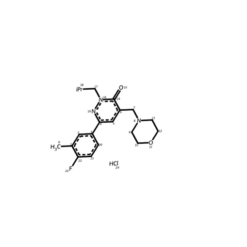 Cc1cc(-c2cc(CN3CCOCC3)c(=O)n(CC(C)C)n2)ccc1F.Cl